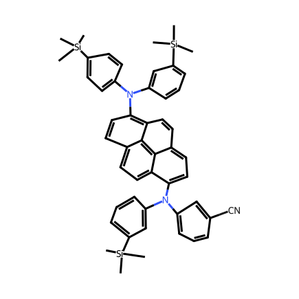 C[Si](C)(C)c1ccc(N(c2cccc([Si](C)(C)C)c2)c2ccc3ccc4c(N(c5cccc(C#N)c5)c5cccc([Si](C)(C)C)c5)ccc5ccc2c3c54)cc1